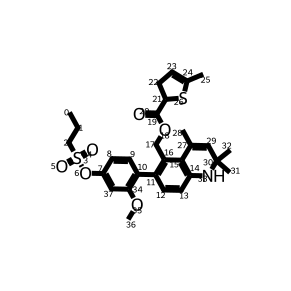 CCCS(=O)(=O)Oc1ccc(-c2ccc3c(c2COC(=O)C2CC=C(C)S2)C(C)=CC(C)(C)N3)c(OC)c1